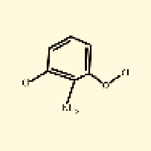 Nc1c(Cl)cccc1OCl